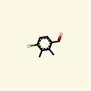 Cc1c(Cl)ccc(C=O)c1C